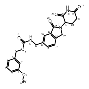 CC(C)Oc1cccc(COC(=O)NCc2ccc3c(c2)C(=O)N(C2CCC(=O)NC2=O)C3)c1